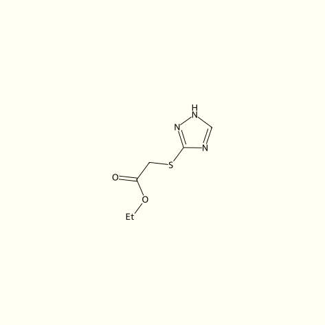 CCOC(=O)CSc1nc[nH]n1